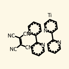 N#CC(C#N)=C(C#N)C#N.[Ti].c1ccc(-c2ccccn2)nc1.c1ccc(-c2ccccn2)nc1